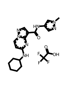 Cn1cc(NC(=O)c2cnn3ccc(NC4CCCCC4)nc23)cn1.O=C(O)C(F)(F)F